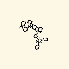 c1ccc(-c2nc(-c3ccccc3)nc(-c3cccc(-n4c5ccccc5c5cc6c7ccccc7n(-c7cccc8oc9ccccc9c78)c6cc54)c3)n2)cc1